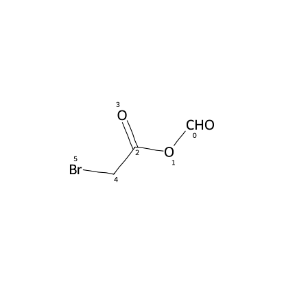 O=COC(=O)CBr